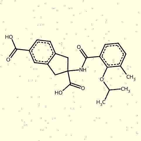 Cc1cccc(C(=O)NC2(C(=O)O)Cc3ccc(C(=O)O)cc3C2)c1OC(C)C